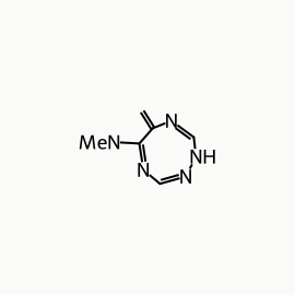 C=C1/N=C\N/N=C\N=C/1NC